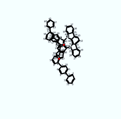 c1ccc(-c2ccc(-c3cccc(-c4cc(-c5ccccc5)cc(-n5c6ccccc6c6ccc7c8ccccc8n(-c8nc(-c9ccccc9)nc(-c9cccc(-c%10ccccc%10)c9)n8)c7c65)c4)c3)cc2)cc1